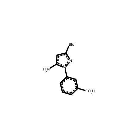 CC(C)(C)c1cc(N)n(-c2cccc(C(=O)O)c2)n1